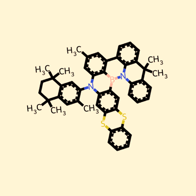 Cc1cc2c3c(c1)N(c1cc4c(cc1C)C(C)(C)CCC4(C)C)c1cc4c(cc1B3N1c3ccccc3C(C)(C)c3cccc-2c31)Sc1ccccc1S4